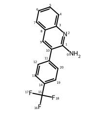 Nc1nc2c[c]ccc2cc1-c1ccc(C(F)(F)F)cc1